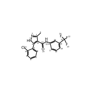 Cc1n[nH]c(-c2ccccc2Cl)c1C(=O)Nc1cccc(C(F)(F)F)c1